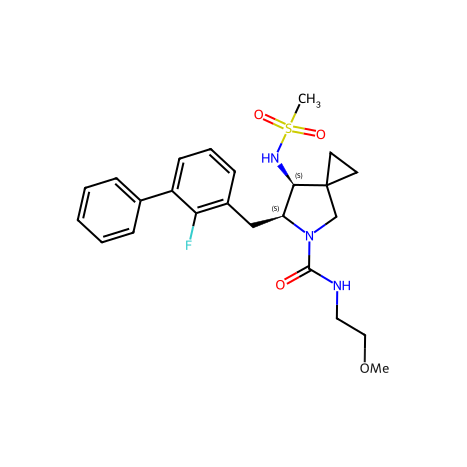 COCCNC(=O)N1CC2(CC2)[C@H](NS(C)(=O)=O)[C@@H]1Cc1cccc(-c2ccccc2)c1F